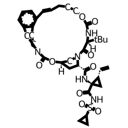 C=C[C@@H]1C[C@]1(NC(=O)[C@@H]1C[C@@H]2CN1C(=O)[C@H](C(C)(C)C)NC(=O)OCCC/C=C/c1cccc3c1CCN(C3)C(=O)O2)C(=O)NS(=O)(=O)C1CC1